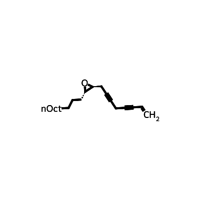 C=CC#CCC#CC[C@@H]1O[C@H]1CCCCCCCCCCC